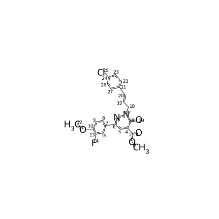 COC(=O)c1cc(-c2ccc(OC)c(F)c2)nn(CC=Cc2ccc(Cl)cc2)c1=O